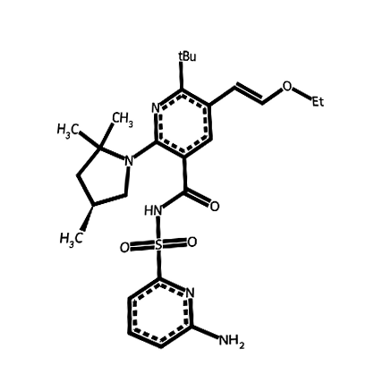 CCO/C=C/c1cc(C(=O)NS(=O)(=O)c2cccc(N)n2)c(N2C[C@@H](C)CC2(C)C)nc1C(C)(C)C